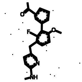 CNc1ccc(Cc2ccc(OC)c(-c3cccc(C(C)=O)c3)c2F)cn1